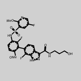 COc1ccc(NS(=O)(=O)c2cc(F)cnc2OC)c(F)c1-c1ccc2c(C(=O)NCCCO)n[nH]c2c1F